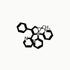 C[O+]1CC(c2ccccc2)=C(c2ccccn2)[B-]1(c1ccccn1)c1ccccn1